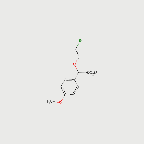 CCOC(=O)C(OCCBr)c1ccc(OC(F)(F)F)cc1